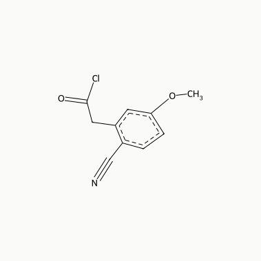 COc1ccc(C#N)c(CC(=O)Cl)c1